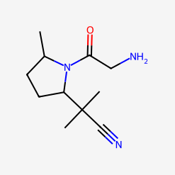 CC1CCC(C(C)(C)C#N)N1C(=O)CN